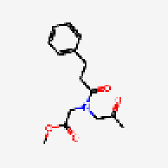 COC(=O)CN(CC(C)=O)C(=O)CCc1ccccc1